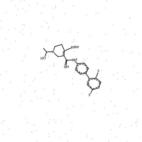 CNC1=C(C(=N)Nc2ccc(-c3cc(F)ccc3F)cc2)CN(C(C)O)CC1